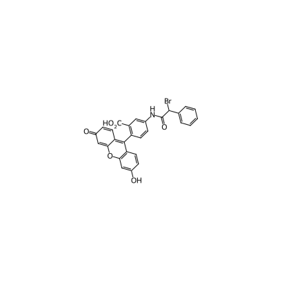 O=C(O)c1cc(NC(=O)C(Br)c2ccccc2)ccc1-c1c2ccc(=O)cc-2oc2cc(O)ccc12